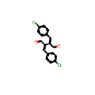 O=CC(=C/c1ccc(Cl)cc1)/C(C=O)=C\c1ccc(Cl)cc1